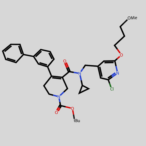 COCCCOc1cc(CN(C(=O)C2=C(c3cccc(-c4ccccc4)c3)CCN(C(=O)OC(C)(C)C)C2)C2CC2)cc(Cl)n1